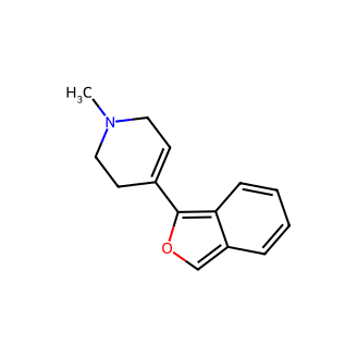 CN1CC=C(c2occ3ccccc23)CC1